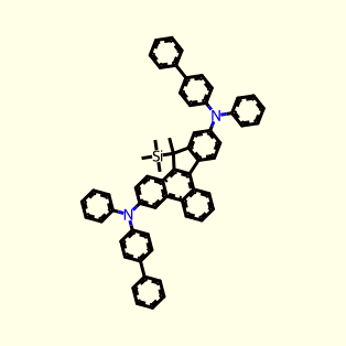 CC1([Si](C)(C)C)c2cc(N(c3ccccc3)c3ccc(-c4ccccc4)cc3)ccc2-c2c1c1ccc(N(c3ccccc3)c3ccc(-c4ccccc4)cc3)cc1c1ccccc21